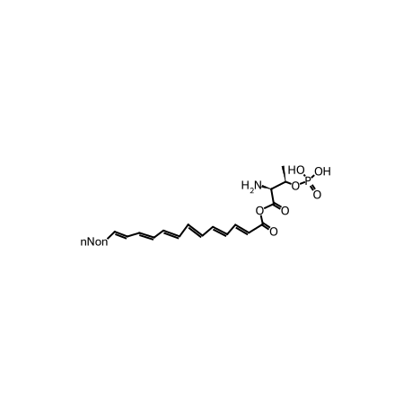 CCCCCCCCCC=CC=CC=CC=CC=CC=CC(=O)OC(=O)[C@@H](N)[C@@H](C)OP(=O)(O)O